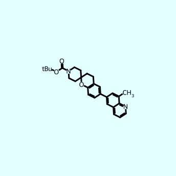 Cc1cc(-c2ccc3c(c2)CCC2(CCN(C(=O)OC(C)(C)C)CC2)O3)cc2cccnc12